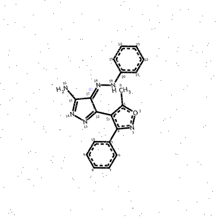 Cc1onc(-c2ccccc2)c1C1=NN=C(N)/C1=N/Nc1ccccc1